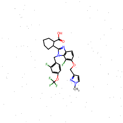 Cn1ccc(COc2ccc3nc(C4CCCCC4C(=O)O)n(Cc4ccc(OC(F)(F)F)cc4F)c3c2F)n1